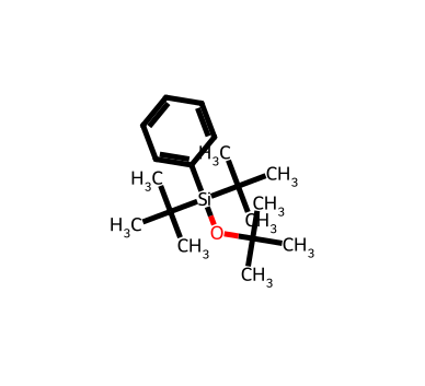 CC(C)(C)O[Si](c1ccccc1)(C(C)(C)C)C(C)(C)C